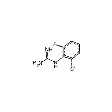 N=C(N)Nc1c(F)cccc1Cl